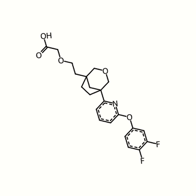 O=C(O)COCCC12CCC(c3cccc(Oc4ccc(F)c(F)c4)n3)(COC1)C2